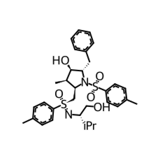 Cc1ccc(S(=O)(=O)N2[C@@H](C[S@@](=O)(=N[C@H](CO)C(C)C)c3ccc(C)cc3)[C@@H](C)[C@@H](O)[C@@H]2Cc2ccccc2)cc1